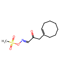 CS(=O)(=O)ON=CC(=O)CC1=CCCCCCC1